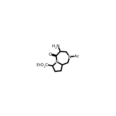 CCOC(=O)C1CCC2CN(C(C)=O)CC(N)C(=O)N21